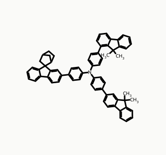 CC1(C)c2ccccc2-c2ccc(-c3ccc(N(c4ccc(-c5ccc6c(c5)C5(CC7CCC5C7)c5ccccc5-6)cc4)c4ccc(-c5cccc6c5C(C)(C)c5ccccc5-6)cc4)cc3)cc21